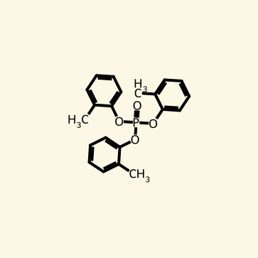 Cc1ccccc1OP(=O)(Oc1ccccc1C)Oc1ccccc1C